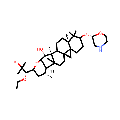 CCO[C@@H](C1C[C@@H](C)[C@H]2C(O1)[C@H](O)[C@@]1(C)C3CC[C@H]4C(C)(C)C(O[C@H]5CNCCO5)CCC45CC35CCC21C)C(C)(C)O